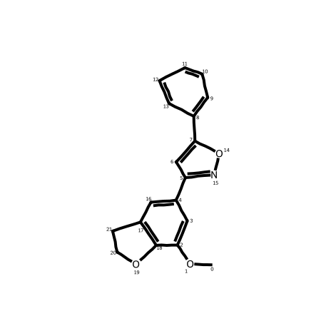 COc1cc(-c2cc(-c3ccccc3)on2)cc2c1OCC2